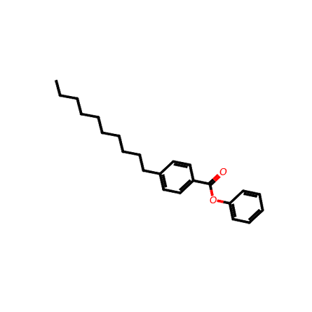 CCCCCCCCCCc1ccc(C(=O)Oc2ccccc2)cc1